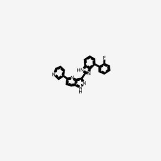 Fc1ccccc1-c1cccc2[nH]c(-c3n[nH]c4ccc(-c5cccnc5)nc34)nc12